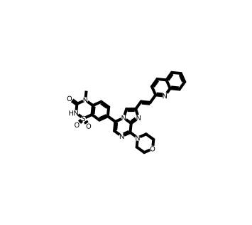 CN1C(=O)NS(=O)(=O)c2cc(-c3cnc(N4CCOCC4)c4nc(/C=C/c5ccc6ccccc6n5)cn34)ccc21